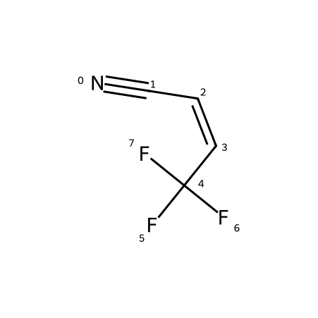 N#C/C=C\C(F)(F)F